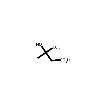 CC(O)(CC(=O)O)C(Cl)(Cl)Cl